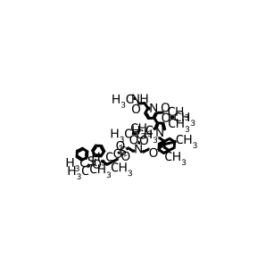 CNC(=O)Cc1ccc(-c2ccn(CC34CC5(C)CC(C)(C3)CC(OCCN(CCS(=O)(=O)OCC(C)(C)CCO[Si](c3ccccc3)(c3ccccc3)C(C)(C)C)C(=O)OC(C)(C)C)(C5)C4)c2C)c(C(=O)OC(C)(C)C)n1